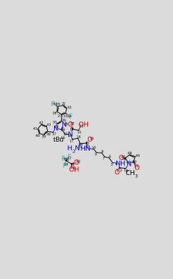 C[C@H](C(=O)NCCCCCCNC(=O)[C@@H](N)CCN(C(=O)CO)[C@@H](c1nc(-c2cc(F)ccc2F)cn1Cc1ccccc1)C(C)(C)C)N1C(=O)C=CC1=O.O=C(O)C(F)(F)F